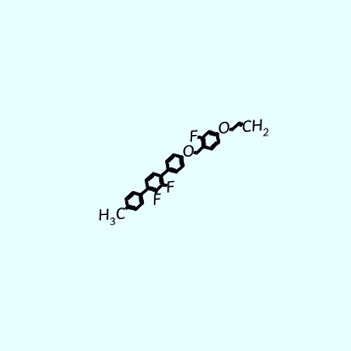 C=CCOc1ccc(COc2ccc(-c3ccc(-c4ccc(C)cc4)c(F)c3F)cc2)c(F)c1